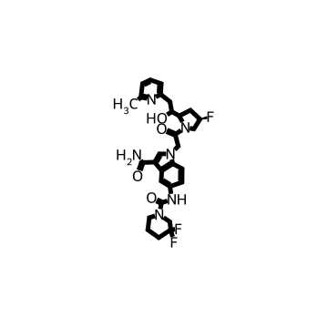 Cc1cccc(CC(O)C2C[C@@H](F)CN2C(=O)Cn2cc(C(N)=O)c3cc(NC(=O)N4CCCC(F)(F)C4)ccc32)n1